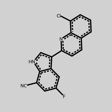 N#Cc1cc(F)cc2c(-c3ccc4cccc(Cl)c4n3)c[nH]c12